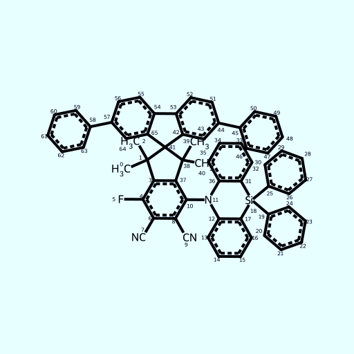 CC1(C)c2c(F)c(C#N)c(C#N)c(N3c4ccccc4[Si](c4ccccc4)(c4ccccc4)c4ccccc43)c2C(C)(C)C12c1cc(-c3ccccc3)ccc1-c1ccc(-c3ccccc3)cc12